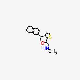 CNCC1OCC(c2ccc3ccccc3c2)c2ccsc21